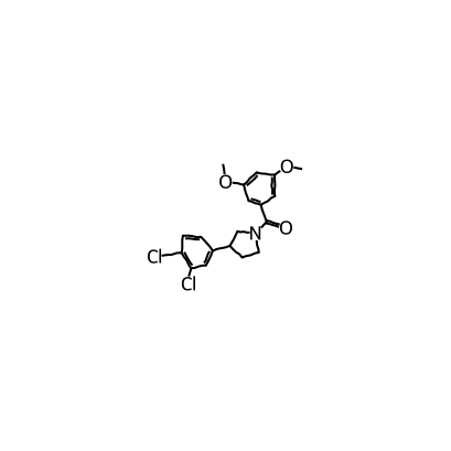 COc1cc(OC)cc(C(=O)N2CCC(c3ccc(Cl)c(Cl)c3)C2)c1